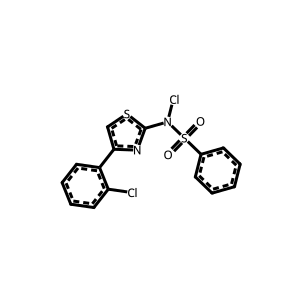 O=S(=O)(c1ccccc1)N(Cl)c1nc(-c2ccccc2Cl)cs1